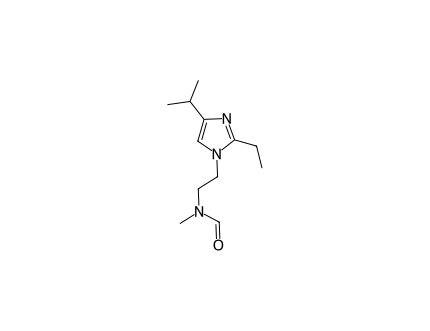 CCc1nc(C(C)C)cn1CCN(C)C=O